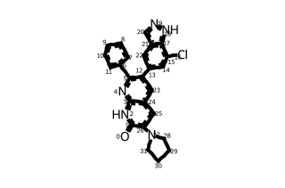 O=c1[nH]c2nc(-c3ccccc3)c(-c3cc(Cl)c4[nH]ncc4c3)cc2cc1N1CCCC1